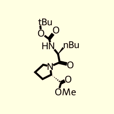 CCCC[C@H](NC(=O)OC(C)(C)C)C(=O)N1CCC[C@H]1C(=O)OC